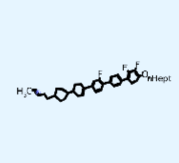 C/C=C/CCC1CCC(C2CC=C(c3ccc(-c4ccc(-c5ccc(OCCCCCCC)c(F)c5F)cc4)c(F)c3)CC2)CC1